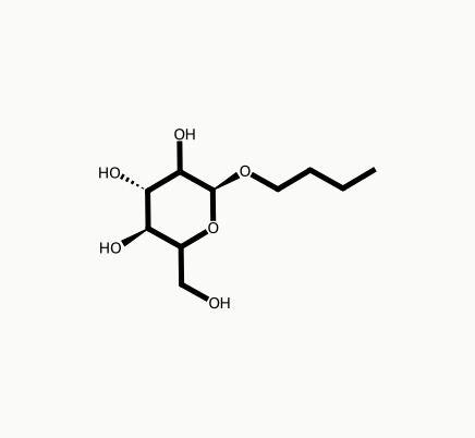 CCCCO[C@H]1OC(CO)[C@@H](O)[C@H](O)C1O